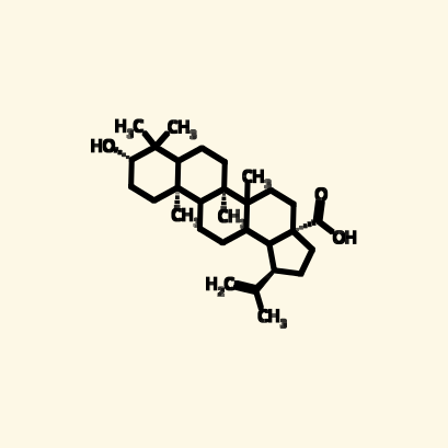 C=C(C)[C@@H]1CC[C@]2(C(=O)O)CCC3(C)C(CCC4[C@@]5(C)CC[C@H](O)C(C)(C)C5CC[C@]43C)C12